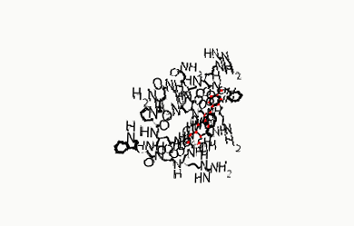 N=C(N)NCCC[C@H](NC(=O)CNC(=O)[C@H](Cc1c[nH]c2ccccc12)NC(=O)[C@H](CC(N)=O)NC(=O)[C@@H]1CCCN1C(=O)[C@@H](N)CC(N)=O)C(=O)N[C@@H](CO)C(=O)N[C@@H](Cc1c[nH]c2ccccc12)C(=O)N[C@@H](Cc1ccc(O)cc1)C(=O)N[C@@H](CC(N)=O)C(=O)N[C@@H](CCC(N)=O)C(=O)N[C@@H](CCCNC(=N)N)C(=O)N[C@@H](Cc1ccccc1)C(=O)N[C@@H](CCCCN)C(=O)NCC(=O)N[C@@H](CS)C(=O)O